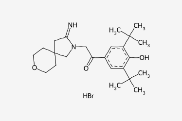 Br.CC(C)(C)c1cc(C(=O)CN2CC3(CCOCC3)CC2=N)cc(C(C)(C)C)c1O